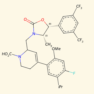 COc1cc(F)c(C(C)C)cc1C1=CC(CN2C(=O)O[C@H](c3cc(C(F)(F)F)cc(C(F)(F)F)c3)[C@@H]2C)N(C(=O)O)CC1